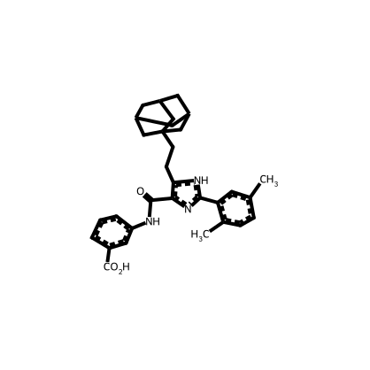 Cc1ccc(C)c(-c2nc(C(=O)Nc3cccc(C(=O)O)c3)c(CCC34CC5CC(CC(C5)C3)C4)[nH]2)c1